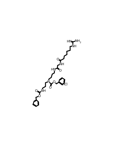 Cl.N=C(N)NCCCCCCC(=O)NCC(=O)NCCCCN(CCCNC(=O)OCc1ccccc1)C(=O)OCc1ccccc1